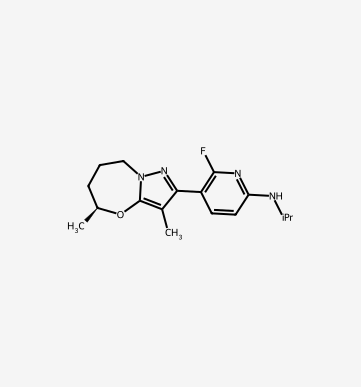 Cc1c(-c2ccc(NC(C)C)nc2F)nn2c1O[C@@H](C)CCC2